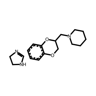 C1=NCCN1.c1ccc2c(c1)OCC(CN1CCCCC1)O2